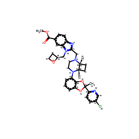 COC(=O)c1ccc2nc(CN3CCN(c4cccc5c4OC(C)(c4ccc(Cl)cn4)O5)[C@H]4CC[C@H]43)n(C[C@@H]3CCO3)c2c1